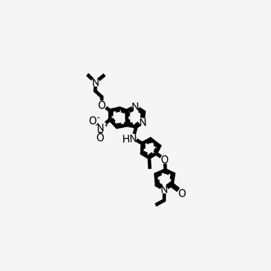 CCn1ccc(Oc2ccc(Nc3ncnc4cc(OCCN(C)C)c([N+](=O)[O-])cc34)cc2C)cc1=O